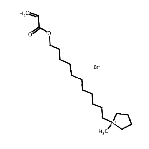 C=CC(=O)OCCCCCCCCCCC[N+]1(C)CCCC1.[Br-]